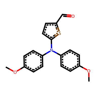 COc1ccc(N(c2ccc(OC)cc2)c2ccc(C=O)s2)cc1